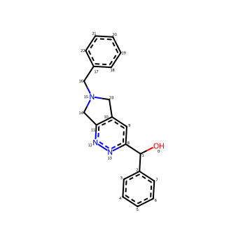 OC(c1ccccc1)c1cc2c(nn1)CN(Cc1ccccc1)C2